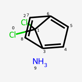 ClC1(Cl)C2=CC=C1C=C2.N